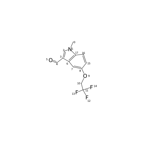 Cn1cc(C=O)c2cc(OCC(F)(F)F)ccc21